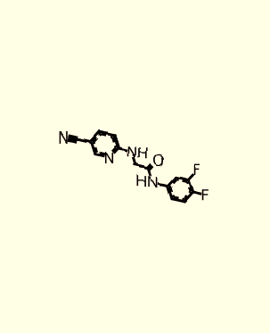 N#Cc1ccc(NCC(=O)Nc2ccc(F)c(F)c2)nc1